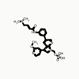 COc1cc(-c2cn(COP(=O)(O)O)c3ncc(-c4cccc(NC(=O)/C=C/CN(C)C)c4)cc23)ccn1